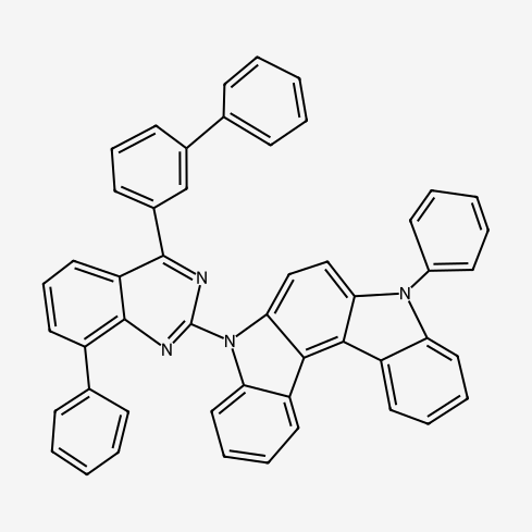 c1ccc(-c2cccc(-c3nc(-n4c5ccccc5c5c6c7ccccc7n(-c7ccccc7)c6ccc54)nc4c(-c5ccccc5)cccc34)c2)cc1